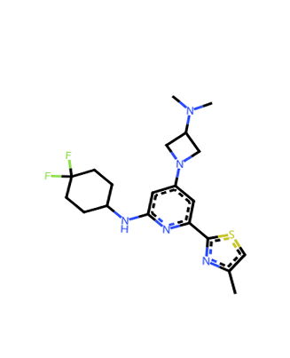 Cc1csc(-c2cc(N3CC(N(C)C)C3)cc(NC3CCC(F)(F)CC3)n2)n1